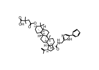 C=C(C)[C@@H]1CC[C@]2(C(=O)NCc3ncc(-c4ccccc4)[nH]3)CC[C@]3(C)[C@H](CC[C@@H]4[C@@]5(C)CC[C@H](OC(=O)CC(C)(C)C(=O)O)C(C)(C)[C@@H]5CC[C@]43C)[C@@H]12